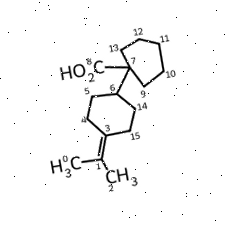 CC(C)=C1CCC(C2(C(=O)O)CCCCC2)CC1